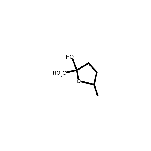 CC1CCC(O)(C(=O)O)O1